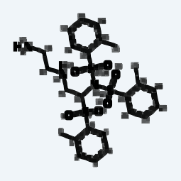 Cc1ccccc1S(=O)(=O)C(CNCCN)N(S(=O)(=O)c1ccccc1C)S(=O)(=O)c1ccccc1C